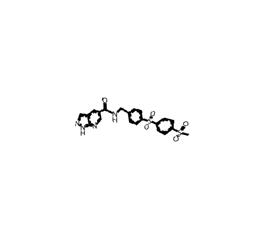 CS(=O)(=O)c1ccc(S(=O)(=O)c2ccc(CNC(=O)c3cnc4[nH]ncc4c3)cc2)cc1